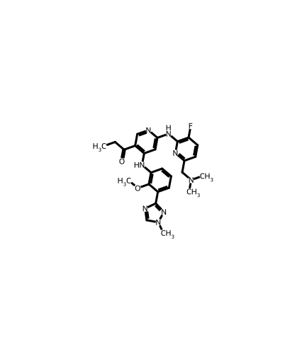 CCC(=O)c1cnc(Nc2nc(CN(C)C)ccc2F)cc1Nc1cccc(-c2ncn(C)n2)c1OC